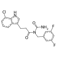 NC(=O)N(Cc1cc(F)cc(F)c1)C(=O)CCc1c[nH]c2c(Cl)cccc12